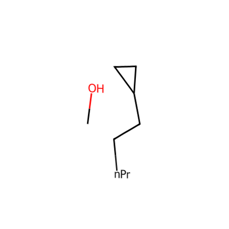 CCCCCC1CC1.CO